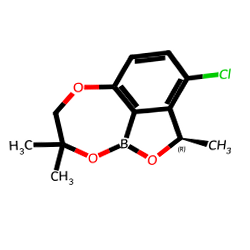 C[C@H]1OB2OC(C)(C)COc3ccc(Cl)c1c32